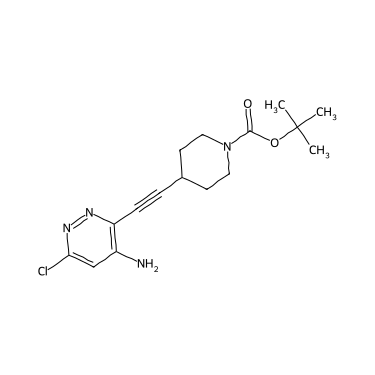 CC(C)(C)OC(=O)N1CCC(C#Cc2nnc(Cl)cc2N)CC1